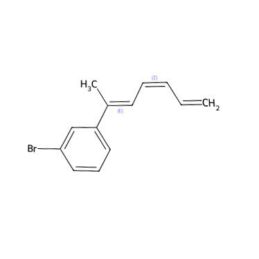 C=C/C=C\C=C(/C)c1cccc(Br)c1